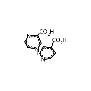 O=C(O)c1ccnnc1.O=C(O)c1cnccn1